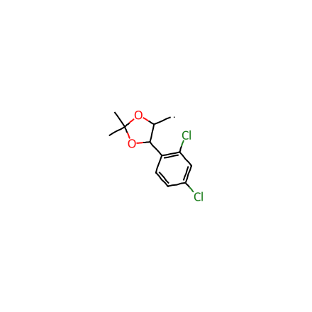 [CH2]C1OC(C)(C)OC1c1ccc(Cl)cc1Cl